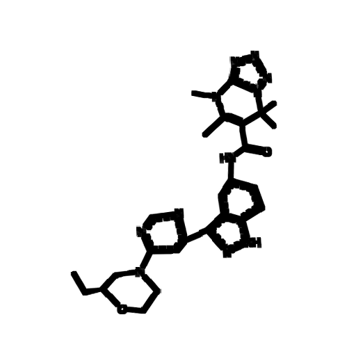 CC[C@H]1CN(c2cc(-c3n[nH]c4ccc(NC(=O)C5=C(C)N(C)c6nnnn6C5(C)C)cc34)ncn2)CCO1